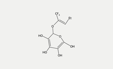 CCC=C(OC1OC(O)=C(O)C(O)=C1O)C(F)(F)F